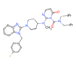 CC(C)CN(CC(C)C)C(=O)n1c(N(C)C2CCN(c3nc4ccccc4n3Cc3ccc(F)cc3)CC2)nccc1=O